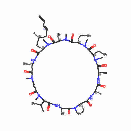 C=C/C=C/C[C@@H](C)C[C@H]1C(=O)N[C@@H](CC)C(=O)N(C)CC(=O)N(C)C(C(C)C(C)C)C(=O)NC(C(C)C)C(=O)N(C)[C@@H](CC(C)C)C(=O)N[C@@H](C)C(=O)N[C@H](C)C(=O)N(C)[C@@H](CC(C)C)C(=O)N(C)[C@@H](CC(C)C)C(=O)N(C)[C@@H](C(C)C)C(=O)N1C